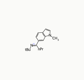 CCC/C(=N\C(C)(C)C)c1ccc2ccn(C)c2c1